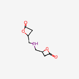 O=C1CC(CPCC2CC(=O)O2)O1